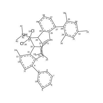 CC1=Cc2c(-c3ccccc3)ccc(C)c2[CH]1[Zr]([Cl])([Cl])([CH]1C(C(C)C)=Cc2c(-c3c(C)cc(C)cc3C)cccc21)[SiH](C)C